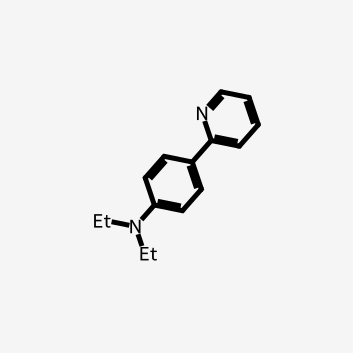 CCN(CC)c1ccc(-c2ccccn2)cc1